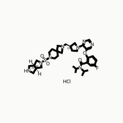 CC(C)N(C(=O)c1cc(F)ccc1Oc1cncnc1N1CC[C@@H](CN2CC3(CCN(S(=O)(=O)N4C[C@H]5CNC[C@H]5C4)CC3)C2)C1)C(C)C.Cl